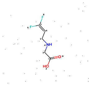 O=C(O)CNCC=C(F)F